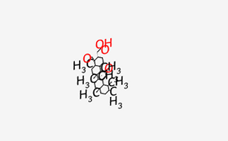 C[C@@H]1CC[C@]2(C)CC[C@]3(C)C(=CC(=O)C4[C@@]5(C)CC[C@@H](CC(=O)O)[C@](C)(C=O)C5CC[C@]43C)C2[C@H]1C